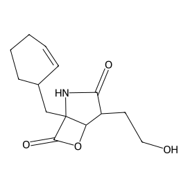 O=C1NC2(CC3C=CCCC3)C(=O)OC2C1CCO